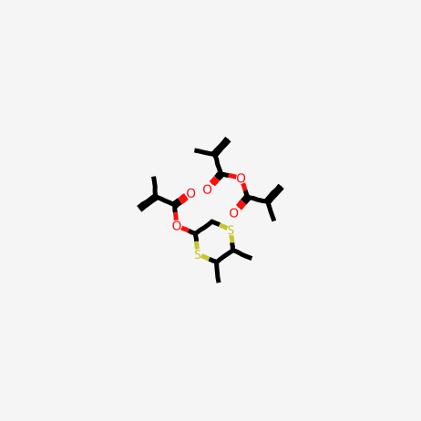 C=C(C)C(=O)OC(=O)C(=C)C.C=C(C)C(=O)OC1CSC(C)C(C)S1